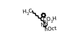 C=CCCCCCC(CC(C(=O)O)c1ncc(CCCCCCCC)cn1)c1ccccc1